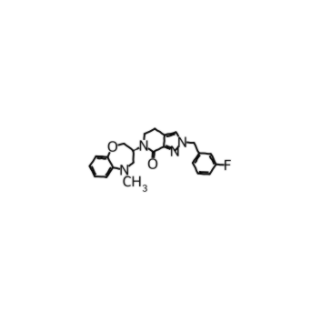 CN1C[C@H](N2CCc3cn(Cc4cccc(F)c4)nc3C2=O)COc2ccccc21